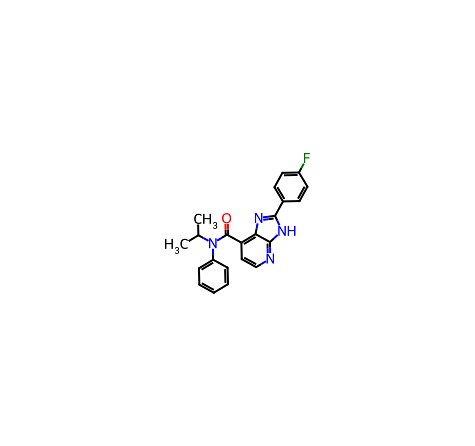 CC(C)N(C(=O)c1ccnc2[nH]c(-c3ccc(F)cc3)nc12)c1ccccc1